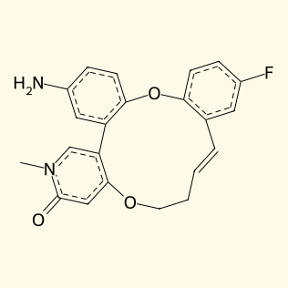 Cn1cc2c(cc1=O)OCC/C=C/c1cc(F)ccc1Oc1ccc(N)cc1-2